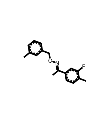 C/C(=N\OCc1cccc(C)c1)c1ccc(C)c(F)c1